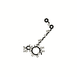 CC[C@H]1OC(=O)[C@H](C)C(=O)[C@H](C)[C@@H](O[C@@H]2O[C@H](C)C[C@H](N(C)C)[C@H]2O)[C@@](C)(OC)C[C@@H](C)C(=NOCCNCCCOCCCNCc2cccc(OCc3ccccc3)c2)[C@H](C)[C@@H](O)[C@]1(C)O